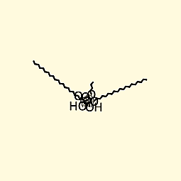 CCCCCCCCCCCCCCCCCCOC[C@H]1O[C@H](OCCCC)[C@H](OCCCCCCCCCCCCCCCCCC)[C@@H](O)[C@@H]1O